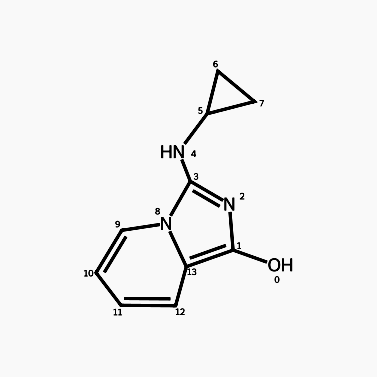 Oc1nc(NC2CC2)n2ccccc12